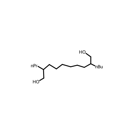 CCCCC(CO)CCCCCCC(CO)CCC